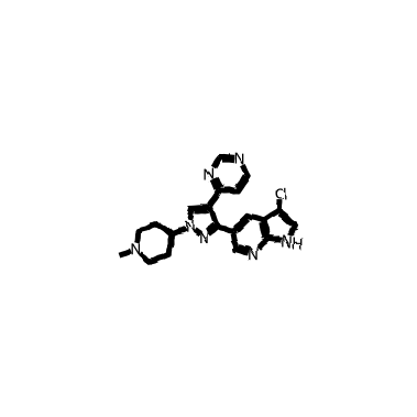 CN1CCC(n2cc(-c3ccncn3)c(-c3cnc4[nH]cc(Cl)c4c3)n2)CC1